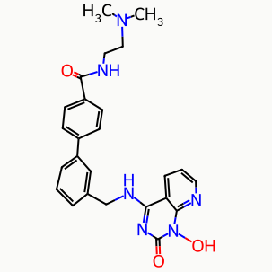 CN(C)CCNC(=O)c1ccc(-c2cccc(CNc3nc(=O)n(O)c4ncccc34)c2)cc1